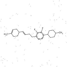 CC1=CCC(/C=C/CCc2ccc(C3CCC(C)CC3)c(F)c2F)CC1